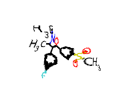 CC1C(c2ccc(F)cc2)=C(c2ccc(S(C)(=O)=O)cc2)ON1C